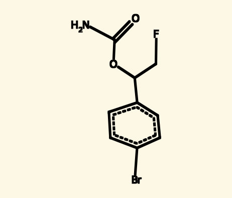 NC(=O)OC(CF)c1ccc(Br)cc1